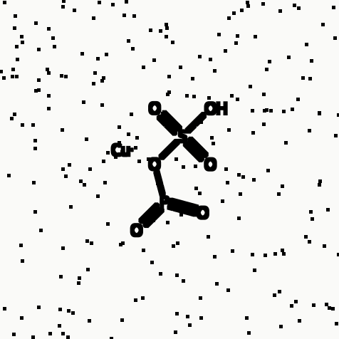 O=P(=O)OS(=O)(=O)O.[Cu]